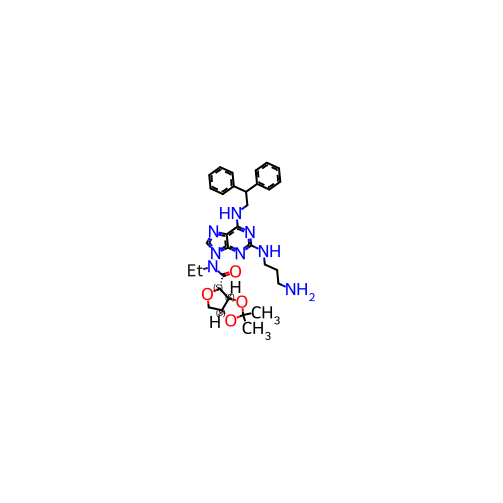 CCN(C(=O)[C@H]1OC[C@@H]2OC(C)(C)O[C@@H]21)n1cnc2c(NCC(c3ccccc3)c3ccccc3)nc(NCCCN)nc21